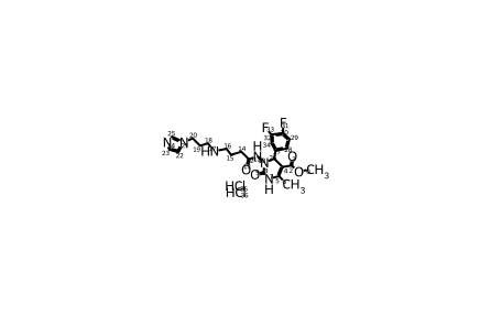 COC(=O)C1=C(C)NC(=O)N(NC(=O)CCCNCCCn2ccnc2)C1c1ccc(F)c(F)c1.Cl.Cl